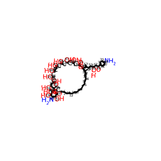 CC1/C=C/C=C/C=C/C=C/C=C/C=C/C=C/C(O[C@@H]2O[C@H](C)[C@@H](O)[C@H](N)[C@H]2O)CC2OC(O)(CC(O)CC(O)CC(O)CC(O)CC(O)CC(O)CC(=O)OC1C(C)CCC(O)CC(=O)c1ccc(N)cc1)CC(O)C2C(=O)O